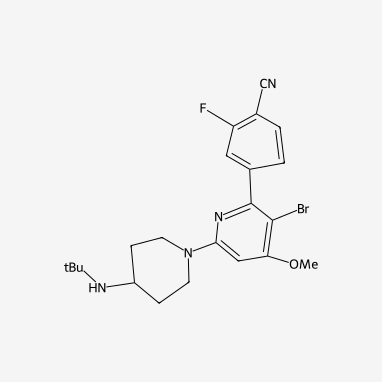 COc1cc(N2CCC(NC(C)(C)C)CC2)nc(-c2ccc(C#N)c(F)c2)c1Br